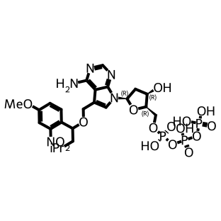 COc1ccc(C(CC(C)C)OCc2cn([C@H]3C[C@@H](O)[C@@H](COP(=O)(O)OP(=O)(O)OP(=O)(O)O)O3)c3ncnc(N)c23)c([N+](=O)[O-])c1